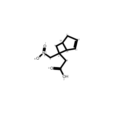 O=C(O)CC1(C[N+](=O)[O-])CC2CC=CC21